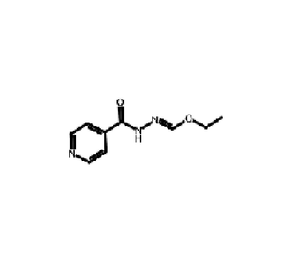 CCO/C=N/NC(=O)c1ccncc1